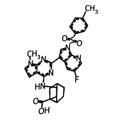 Cc1ccc(S(=O)(=O)n2cc(-c3nc(NC4C5CCC(CC5)C4C(=O)O)c4ccn(C)c4n3)c3cc(F)cnc32)cc1